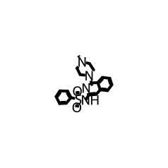 CN1CCN(c2nc(NS(=O)(=O)c3ccccc3)cc3ccccc23)CC1